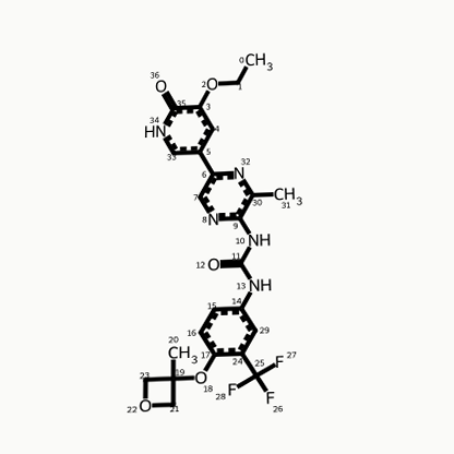 CCOc1cc(-c2cnc(NC(=O)Nc3ccc(OC4(C)COC4)c(C(F)(F)F)c3)c(C)n2)c[nH]c1=O